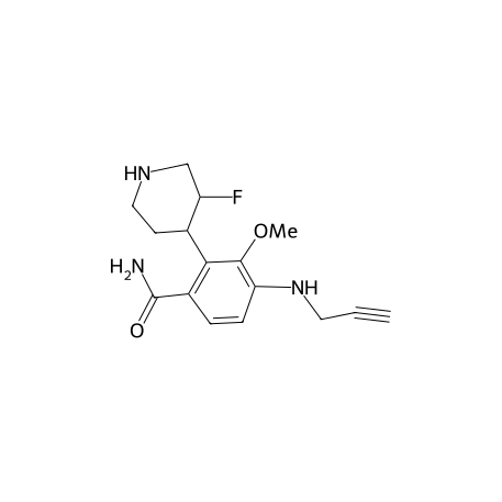 C#CCNc1ccc(C(N)=O)c(C2CCNCC2F)c1OC